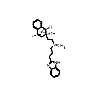 CN(CCCc1nc2ccccc2[nH]1)CC[C@]1(O)C[C@H]2CC[C@@H]1c1ccccc12